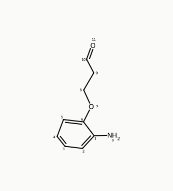 Nc1ccccc1OCC[C]=O